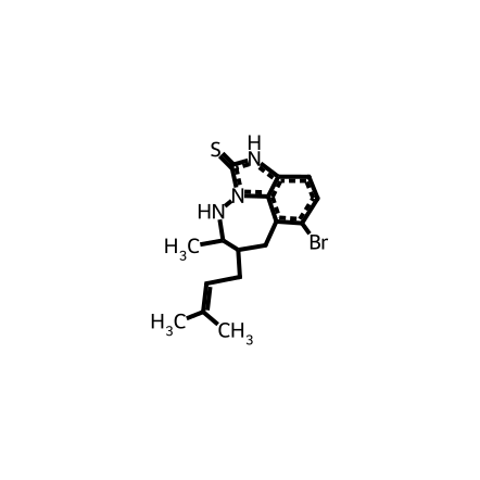 CC(C)=CCC1Cc2c(Br)ccc3[nH]c(=S)n(c23)NC1C